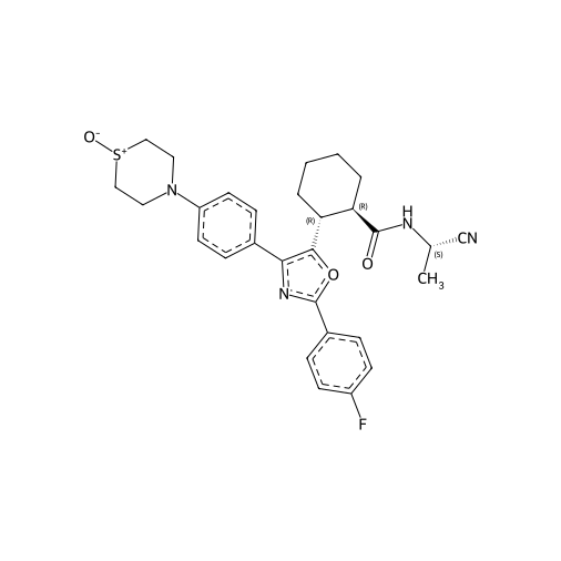 C[C@@H](C#N)NC(=O)[C@@H]1CCCC[C@H]1c1oc(-c2ccc(F)cc2)nc1-c1ccc(N2CC[S+]([O-])CC2)cc1